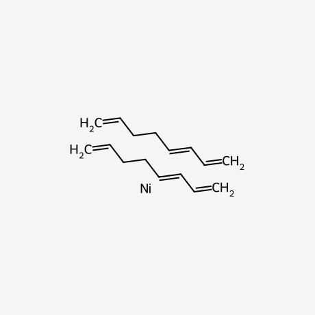 C=CC=CCCC=C.C=CC=CCCC=C.[Ni]